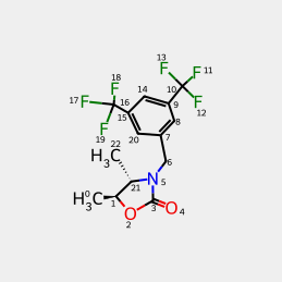 C[C@@H]1OC(=O)N(Cc2cc(C(F)(F)F)cc(C(F)(F)F)c2)[C@H]1C